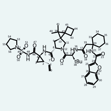 C=C[C@@H]1C[C@]1(NC(=O)[C@@H]1C[C@@]2(CN1C(=O)[C@@H](NC(=O)CC1(NC(=O)c3cc4ccccc4o3)CCCCC1)C(C)(C)C)C(C)(C)C21CCC1)C(=O)NS(=O)(=O)N1CCCC1